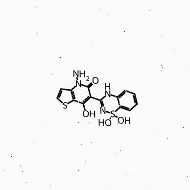 Nn1c(=O)c(C2=NS(O)(O)c3ccccc3N2)c(O)c2sccc21